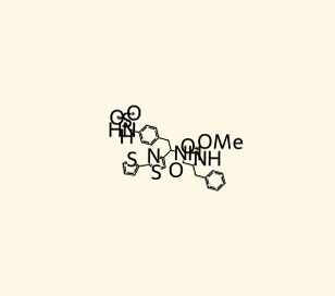 COC(=O)NC(Cc1ccccc1)C(=O)NC(Cc1ccc(N[SH](=O)=O)cc1)c1csc(-c2cccs2)n1